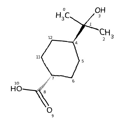 CC(C)(O)[C@H]1CC[C@H](C(=O)O)CC1